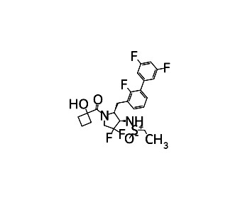 CC[S+]([O-])N[C@@H]1[C@H](Cc2cccc(-c3cc(F)cc(F)c3)c2F)N(C(=O)C2(O)CCC2)CC1(F)F